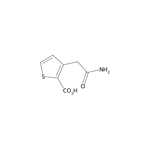 NC(=O)Cc1ccsc1C(=O)O